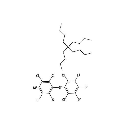 CCCC[N+](CCCC)(CCCC)CCCC.[Ni+2].[S-]c1c(Cl)cc(Cl)c(Cl)c1[S-].[S-]c1c(Cl)cc(Cl)c(Cl)c1[S-]